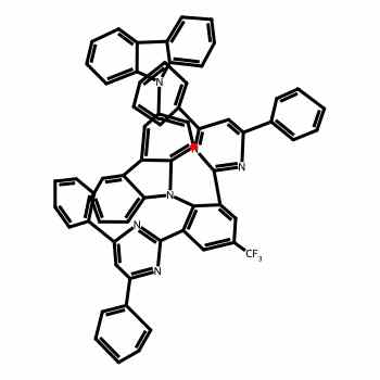 FC(F)(F)c1cc(-c2nc(-c3ccccc3)cc(-c3ccccc3)n2)c(-n2c3ccccc3c3cc(-n4c5ccccc5c5ccccc54)ccc32)c(-c2nc(-c3ccccc3)cc(-c3ccccc3)n2)c1